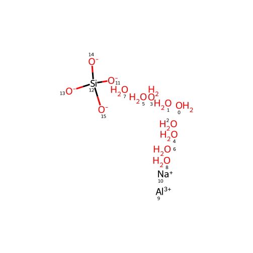 O.O.O.O.O.O.O.O.O.[Al+3].[Na+].[O-][Si]([O-])([O-])[O-]